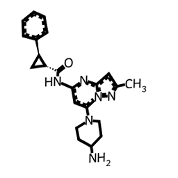 Cc1cc2nc(NC(=O)[C@@H]3C[C@H]3c3ccccc3)cc(N3CCC(N)CC3)n2n1